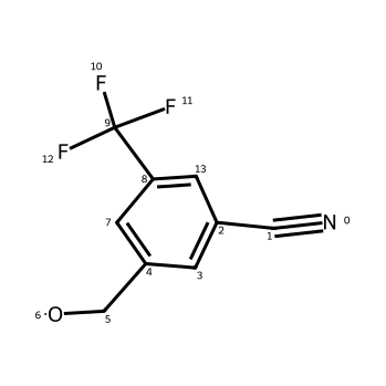 N#Cc1cc(C[O])cc(C(F)(F)F)c1